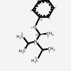 CC(C)N(C(C)C)[C@H](C)Oc1cc[c]cc1